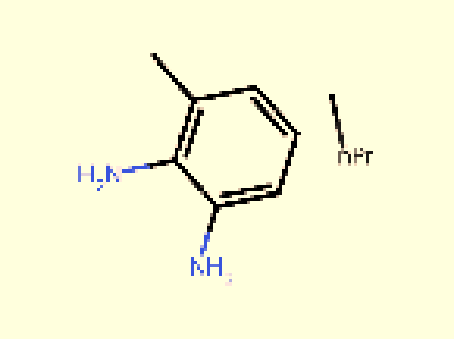 CCCC.Cc1cccc(N)c1N